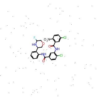 O=C(Nc1ccccc1C1COCC(F)N1)c1ccc(Cl)c(NC(=O)c2cc(Cl)ccc2[N+](=O)[O-])c1